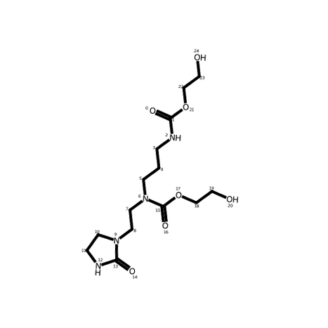 O=C(NCCCN(CCN1CCNC1=O)C(=O)OCCO)OCCO